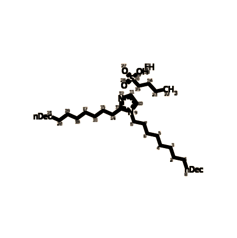 CCCCCCCCCCCCCCCCCCn1ccnc1CCCCCCCCCCCCCCCCC.CCCCS(=O)(=O)O.F